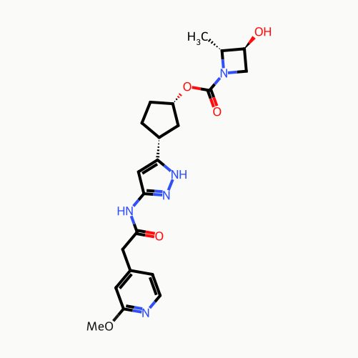 COc1cc(CC(=O)Nc2cc([C@@H]3CC[C@H](OC(=O)N4C[C@H](O)[C@H]4C)C3)[nH]n2)ccn1